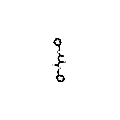 N=C(CC(=O)OCc1ccccc1)C(=O)OCc1ccccc1